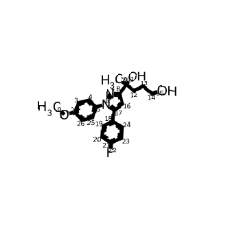 COc1ccc(-n2nc(C(C)(O)CCCO)cc2-c2ccc(F)cc2)cc1